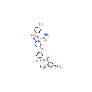 Cc1ccc(S(=O)(=O)/N=c2/ccc(Oc3ccc(F)c(NC(=O)c4cc(C)nn4C)c3)cn2CC(N)=O)cc1